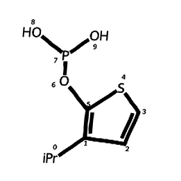 CC(C)c1ccsc1OP(O)O